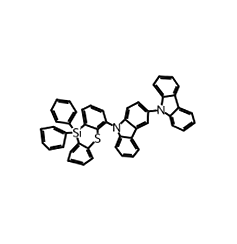 c1ccc([Si]2(c3ccccc3)c3ccccc3Sc3c(-n4c5ccccc5c5cc(-n6c7ccccc7c7ccccc76)ccc54)cccc32)cc1